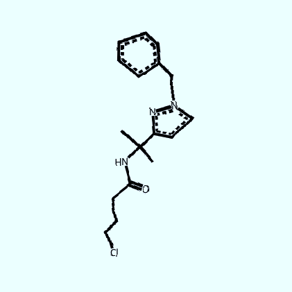 CC(C)(NC(=O)CCCCl)c1ccn(Cc2ccccc2)n1